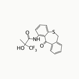 CC(O)(C(=O)Nc1cccc2c1C(=O)c1ccccc1CS2)C(F)(F)F